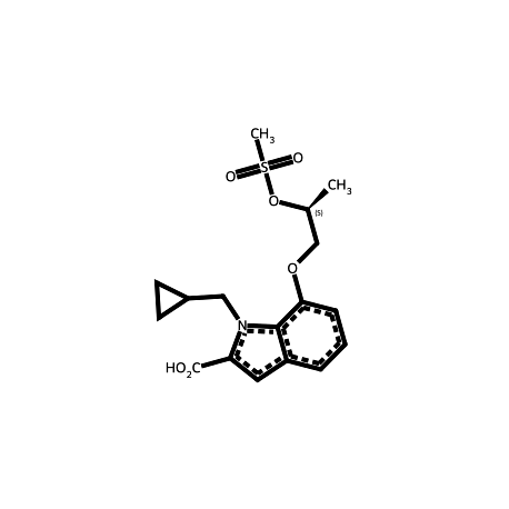 C[C@@H](COc1cccc2cc(C(=O)O)n(CC3CC3)c12)OS(C)(=O)=O